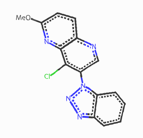 COc1ccc2ncc(-n3nnc4ccccc43)c(Cl)c2n1